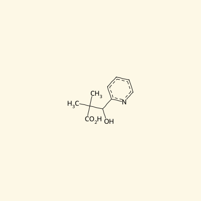 CC(C)(C(=O)O)C(O)c1ccccn1